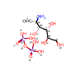 N[C@@H](C=O)[C@@H](O)[C@H](O)[C@H](O)CO.O=P(O)(O)OP(=O)(O)O